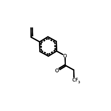 C=Cc1ccc(OC(=O)CC(F)(F)F)cc1